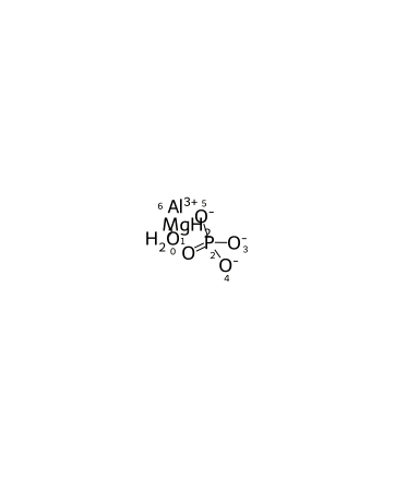 O.O=P([O-])([O-])[O-].[Al+3].[MgH2]